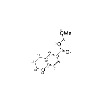 COCOC(=O)c1ccc2c(c1)CCCO2